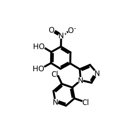 O=[N+]([O-])c1cc(-c2cncn2-c2c(Cl)cncc2Cl)cc(O)c1O